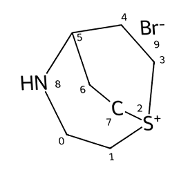 C1C[S+]2CCC(CC2)N1.[Br-]